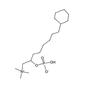 C[N+](C)(C)CC(CCCCCCC1CCCCC1)OP(=O)([O-])O